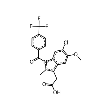 COc1cc2c(CC(=O)O)c(C)n(C(=O)c3ccc(C(F)(F)F)cc3)c2cc1Cl